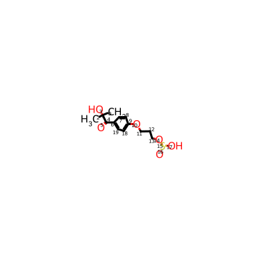 CC(C)(O)C(=O)c1ccc(OCCCOS(=O)O)cc1